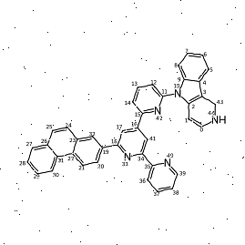 C1=Cc2c(c3ccccc3n2-c2cccc(-c3cc(-c4ccc5c(ccc6ccccc65)c4)nc(-c4ccccn4)c3)n2)CN1